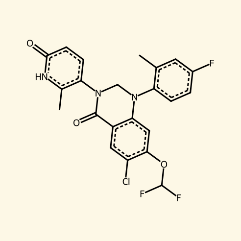 Cc1cc(F)ccc1N1CN(c2ccc(=O)[nH]c2C)C(=O)c2cc(Cl)c(OC(F)F)cc21